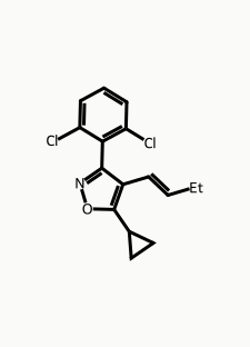 CC/C=C/c1c(-c2c(Cl)cccc2Cl)noc1C1CC1